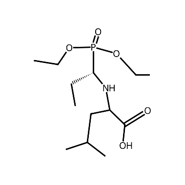 CCOP(=O)(OCC)[C@@H](CC)NC(CC(C)C)C(=O)O